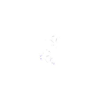 Cc1ccc(Cl)cc1N1CCN(c2nc(N)nc3[nH]ncc23)CC1